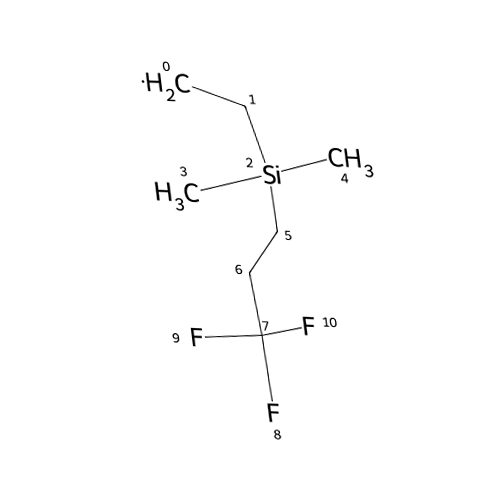 [CH2]C[Si](C)(C)CCC(F)(F)F